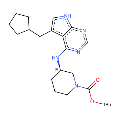 CC(C)(C)OC(=O)N1CCC[C@@H](Nc2ncnc3[nH]cc(CC4CCCC4)c23)C1